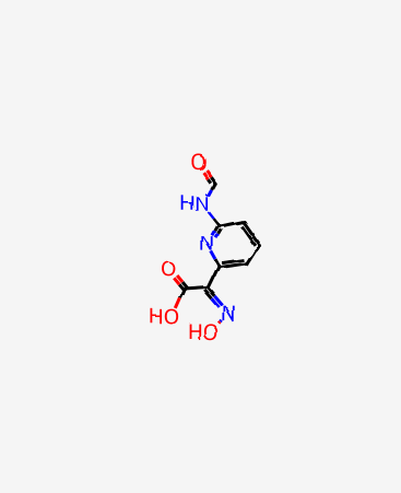 O=CNc1cccc(C(=NO)C(=O)O)n1